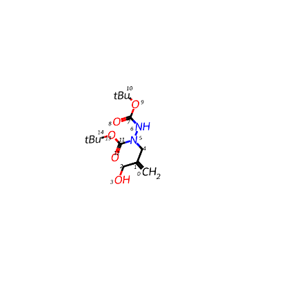 C=C(CO)CN(NC(=O)OC(C)(C)C)C(=O)OC(C)(C)C